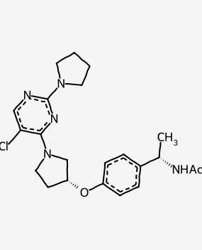 CC(=O)N[C@@H](C)c1ccc(O[C@@H]2CCN(c3nc(N4CCCC4)ncc3Cl)C2)cc1